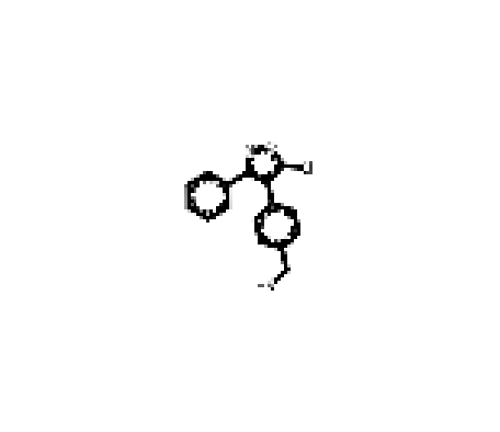 SCc1ccc(-c2c(-c3ccccc3)noc2Cl)cc1